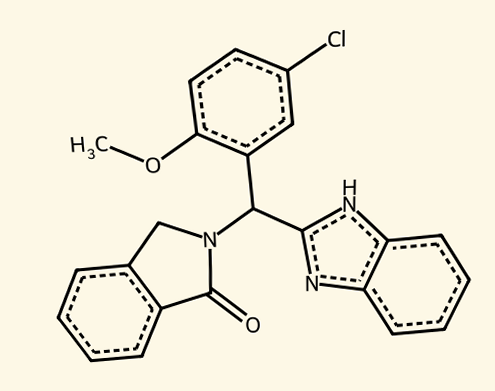 COc1ccc(Cl)cc1C(c1nc2ccccc2[nH]1)N1Cc2ccccc2C1=O